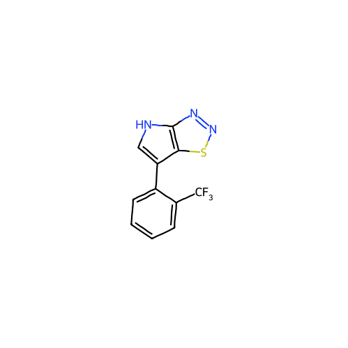 FC(F)(F)c1ccccc1-c1c[nH]c2nnsc12